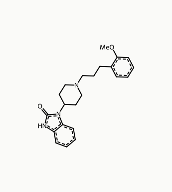 COc1ccccc1CCCN1CCC(n2c(=O)[nH]c3ccccc32)CC1